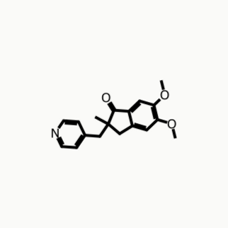 COc1cc2c(cc1OC)C(=O)C(C)(Cc1ccncc1)C2